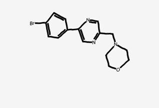 Brc1ccc(-c2cnc(CN3CCOCC3)cn2)cc1